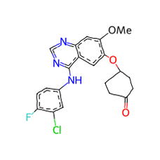 COc1cc2ncnc(Nc3ccc(F)c(Cl)c3)c2cc1OC1CCC(=O)CC1